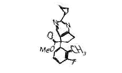 COC(=O)C1(c2cccc(F)c2C)CCc2nc(C3CC3)ncc21